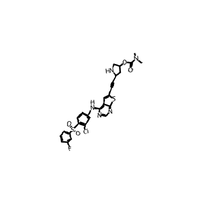 CN(C)C(=O)OC1CNC(C#Cc2cc3c(Nc4ccc(S(=O)(=O)c5cccc(F)c5)c(Cl)c4)ncnc3s2)C1